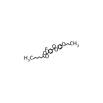 CCCCCCC1COC(c2ccc(C(=O)Oc3ccc(OCCCC)cc3)cc2F)OC1